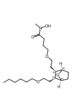 CCCCCCOCC[C@H]1[C@@H](CCOCCCC(=O)N(C)O)[C@H]2CC[C@@H]1O2